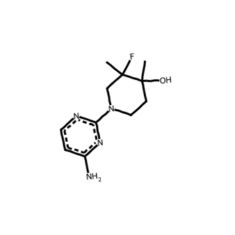 CC1(O)CCN(c2nccc(N)n2)CC1(C)F